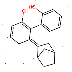 OC1=C(c2ccccc2O)C(=C2CC3CCC2C3)CC=C1